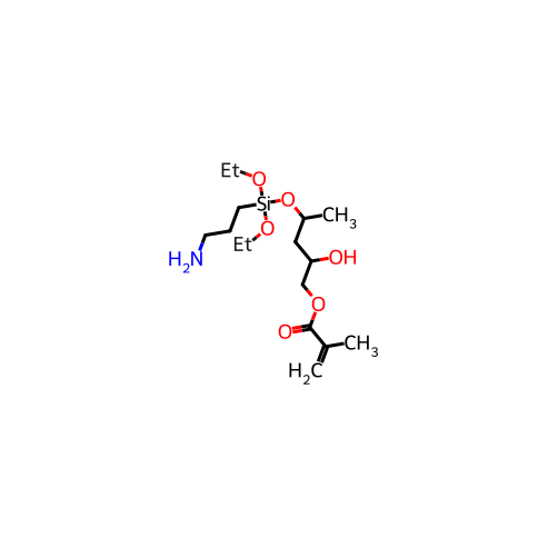 C=C(C)C(=O)OCC(O)CC(C)O[Si](CCCN)(OCC)OCC